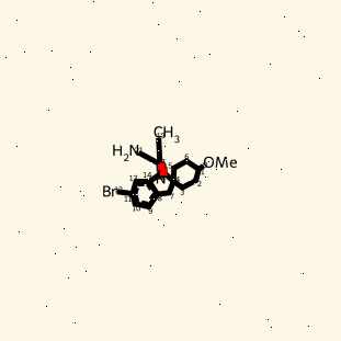 COC1CCC2(CC1)Cc1ccc(Br)cc1C21CON(C)C(N)=N1